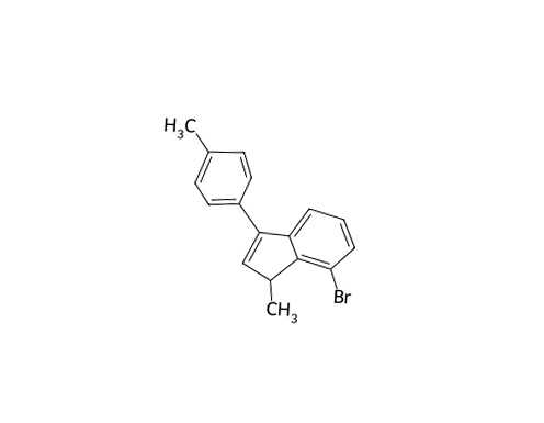 Cc1ccc(C2=CC(C)c3c(Br)cccc32)cc1